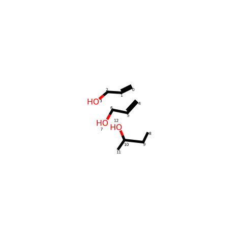 C=CCO.C=CCO.CCC(C)O